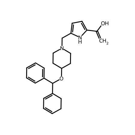 C=C(O)c1ccc(CN2CCC(OC(C3=CC=CCC3)c3ccccc3)CC2)[nH]1